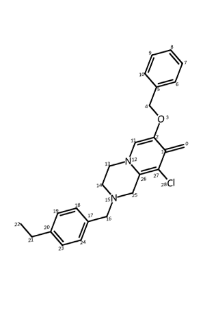 C=C1C(OCc2ccccc2)=CN2CCN(Cc3ccc(CC)cc3)CC2=C1Cl